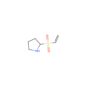 C=CS(=O)(=O)C1CCCN1